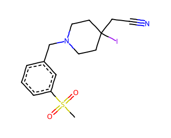 CS(=O)(=O)c1cccc(CN2CCC(I)(CC#N)CC2)c1